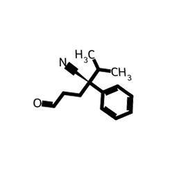 CC(C)[C@@](C#N)(CCC=O)c1ccccc1